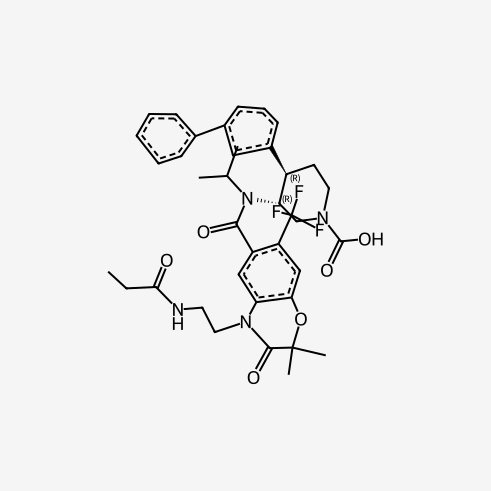 CCC(=O)NCCN1C(=O)C(C)(C)Oc2cc(C(F)(F)F)c(C(=O)N(C(C)C)[C@H]3CN(C(=O)O)CC[C@@H]3c3cccc(-c4ccccc4)c3)cc21